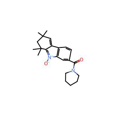 CC1(C)C=C2C(=[N+]([O-])c3cc(C(=O)N4CCCCC4)ccc32)C(C)(C)C1